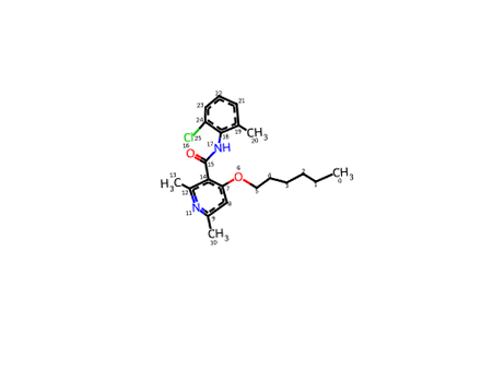 CCCCCCOc1cc(C)nc(C)c1C(=O)Nc1c(C)cccc1Cl